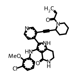 C=CC(=O)N1CCCCC1C#Cc1cnccc1-c1[nH]c2c(c1Nc1cccc(Cl)c1OC)C(=O)NCC2